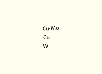 [Cu].[Cu].[Mo].[W]